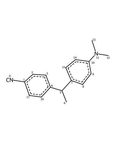 [C-]#[N+]c1ccc(C(C)c2ccc(N(C)C)cc2)cc1